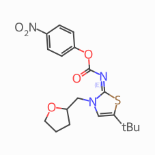 CC(C)(C)c1cn(CC2CCCO2)/c(=N\C(=O)Oc2ccc([N+](=O)[O-])cc2)s1